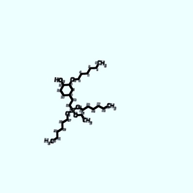 CCCCCCOC1CC(CC[Si](OCC)(OCCCCCC)OCCCCCC)CCC1O